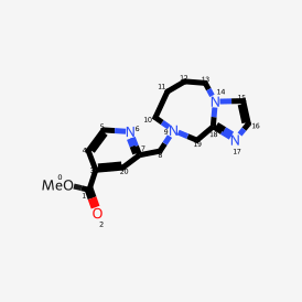 COC(=O)c1ccnc(CN2CCCCn3ccnc3C2)c1